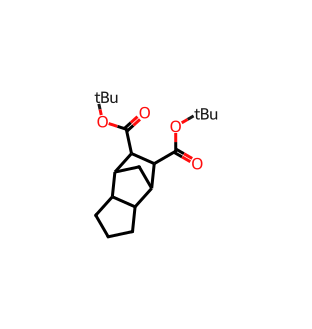 CC(C)(C)OC(=O)C1C2CC(C3CCCC32)C1C(=O)OC(C)(C)C